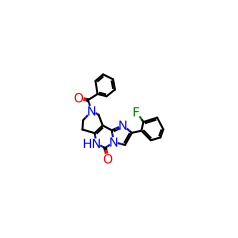 O=C(c1ccccc1)N1CCc2[nH]c(=O)n3cc(-c4ccccc4F)nc3c2C1